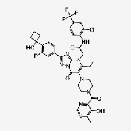 CCc1c(N2CCN(C(=O)c3ncnc(C)c3O)CC2)c(=O)n2nc(-c3ccc(C4(O)CCC4)c(F)c3)nc2n1CC(=O)Nc1ccc(C(F)(F)F)cc1Cl